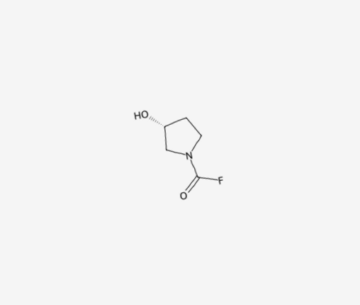 O=C(F)N1CC[C@@H](O)C1